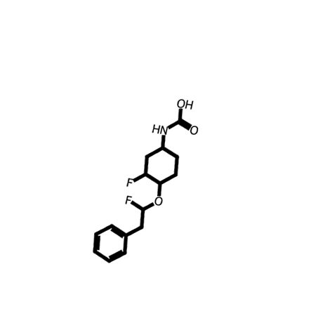 O=C(O)NC1CCC(OC(F)Cc2ccccc2)C(F)C1